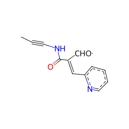 CC#CNC(=O)/C([C]=O)=C/c1ccccn1